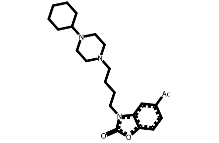 CC(=O)c1ccc2oc(=O)n(CCCCN3CCN(C4CCCCC4)CC3)c2c1